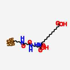 O=C(O)CCCCCCCCCCCCCCC(=O)NC(CCCCNC(=O)CCC(=O)NCCCCC1SSC2(SS1)SS2)C(=O)O